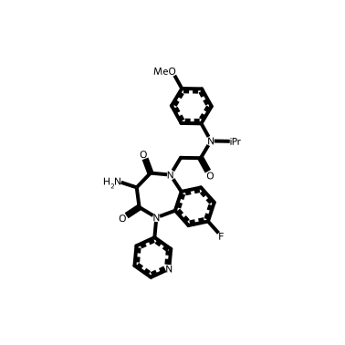 COc1ccc(N(C(=O)CN2C(=O)C(N)C(=O)N(c3cccnc3)c3cc(F)ccc32)C(C)C)cc1